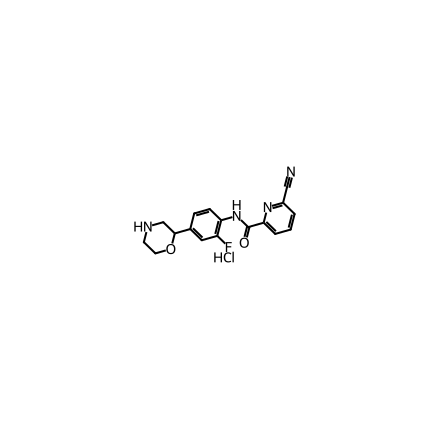 Cl.N#Cc1cccc(C(=O)Nc2ccc(C3CNCCO3)cc2F)n1